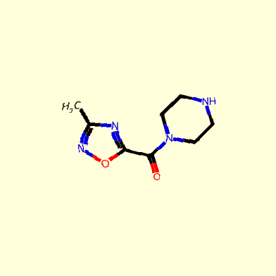 Cc1noc(C(=O)N2CCNCC2)n1